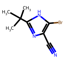 CC(C)(C)c1nc(C#N)c(Br)[nH]1